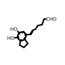 O=[C]CCCCC=Cc1cc(O)c(O)c2c1CCC2